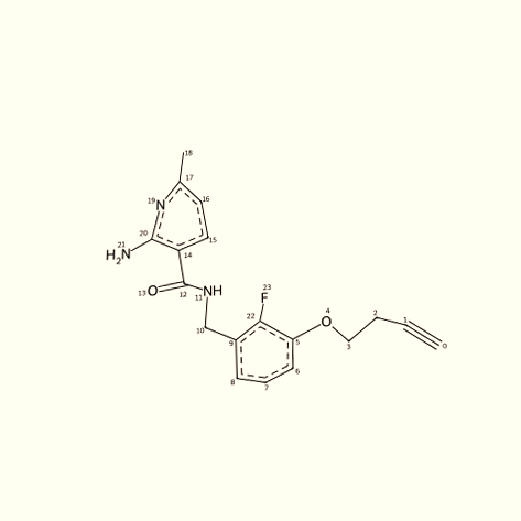 C#CCCOc1cccc(CNC(=O)c2ccc(C)nc2N)c1F